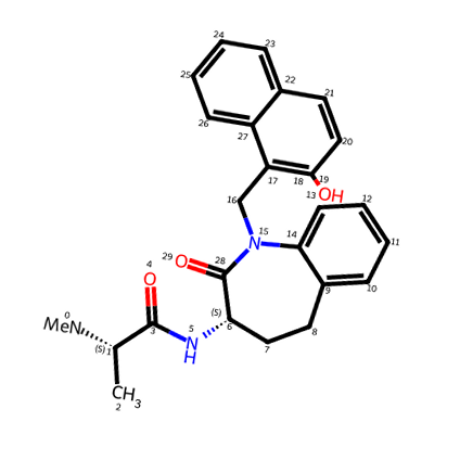 CN[C@@H](C)C(=O)N[C@H]1CCc2ccccc2N(Cc2c(O)ccc3ccccc23)C1=O